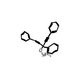 [SiH3]OC(C#Cc1ccccc1)(C#Cc1ccccc1)c1ccccc1